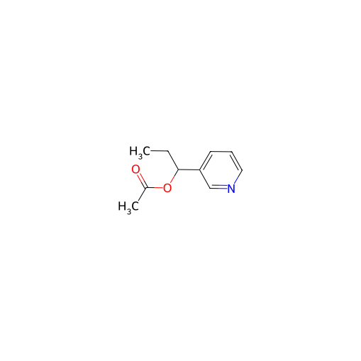 CCC(OC(C)=O)c1cccnc1